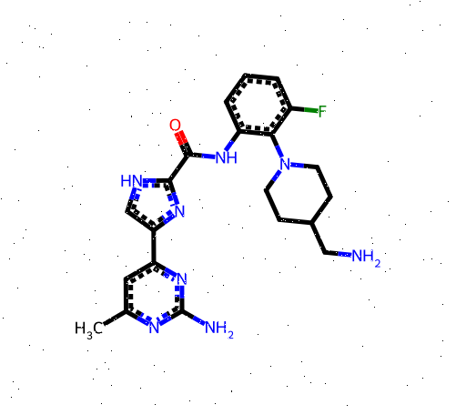 Cc1cc(-c2c[nH]c(C(=O)Nc3cccc(F)c3N3CCC(CN)CC3)n2)nc(N)n1